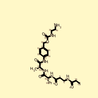 CC(C)[C@H](NC(=O)CCNC(=O)CI)C(=O)N[C@@H](C)C(=O)Nc1ccc(COC(=O)NCCN)cc1